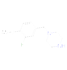 COc1ccc(CN2CCNCC2)cc1F